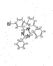 Brc1ccc(-c2ccccc2)c(-c2nc(-c3ccccc3)nc(-c3ccccc3)n2)c1